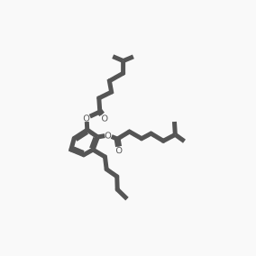 CCCCCc1cccc(OC(=O)CCCCC(C)C)c1OC(=O)CCCCC(C)C